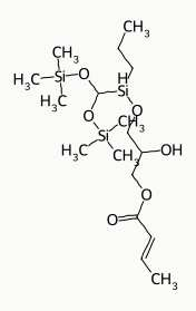 CC=CC(=O)OCC(O)CO[SiH](CCC)C(O[Si](C)(C)C)O[Si](C)(C)C